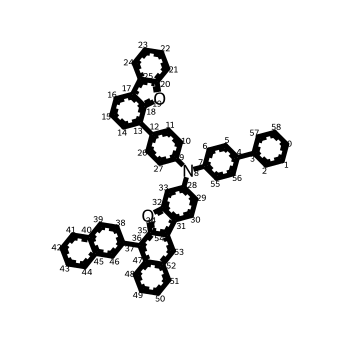 c1ccc(-c2ccc(N(c3ccc(-c4cccc5c4oc4ccccc45)cc3)c3ccc4c(c3)oc3c(-c5ccc6ccccc6c5)c5ccccc5cc34)cc2)cc1